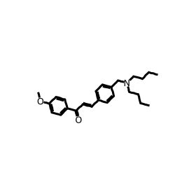 CCCCN(CCCC)Cc1ccc(C=CC(=O)c2ccc(OC)cc2)cc1